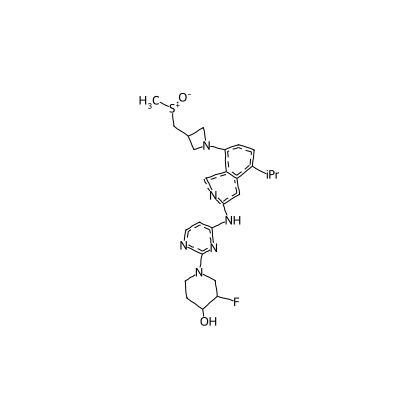 CC(C)c1ccc(N2CC(C[S+](C)[O-])C2)c2cnc(Nc3ccnc(N4CCC(O)C(F)C4)n3)cc12